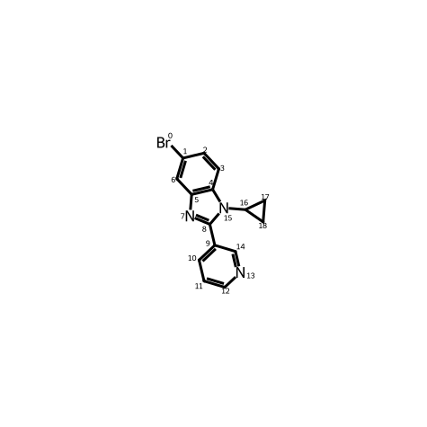 Brc1ccc2c(c1)nc(-c1cccnc1)n2C1CC1